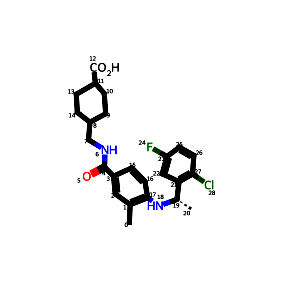 Cc1cc(C(=O)NCC2CCC(C(=O)O)CC2)ccc1N[C@@H](C)c1cc(F)ccc1Cl